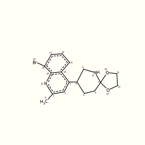 Cc1cc(C2CCC3(NC2)OCCO3)c2cccc(Br)c2n1